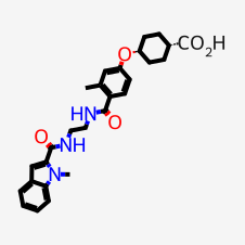 Cc1cc(O[C@H]2CC[C@@H](C(=O)O)CC2)ccc1C(=O)NCCNC(=O)c1cc2ccccc2n1C